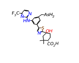 CC1(C)C[C@@](O)(c2ncc(-c3cc(C[AsH2])cc(Nc4nccc(C(F)(F)F)n4)c3)s2)CC[C@@H]1C(=O)O